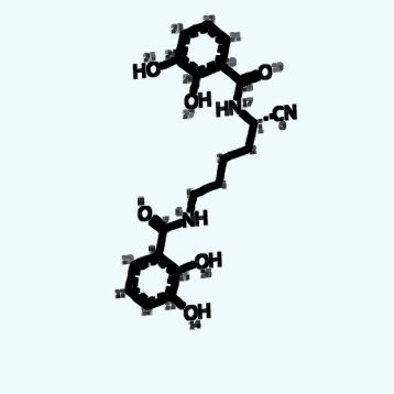 N#C[C@H](CCCCNC(=O)c1cccc(O)c1O)NC(=O)c1cccc(O)c1O